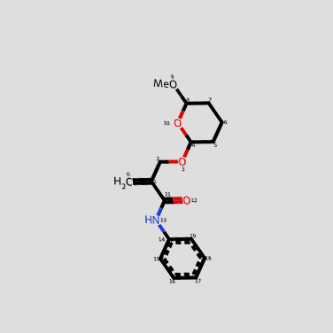 C=C(COC1CCCC(OC)O1)C(=O)Nc1ccccc1